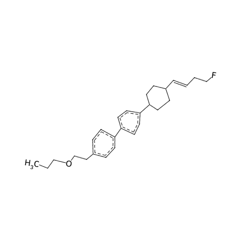 CCCOCCc1ccc(-c2ccc(C3CCC(/C=C/CCF)CC3)cc2)cc1